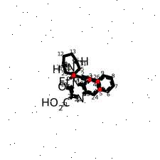 CCC(C#Cc1ccccc1)N1[C@@H]2CC[C@H]1CC(n1c(=O)c(C(=O)O)nc3ccccc31)C2